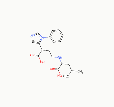 CC(C)CC(NCCC(C(=O)O)c1cncn1-c1ccccc1)C(=O)O